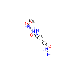 CN(C)CCNC(=O)c1ccc(-c2ccc3[nH]c(C(=O)NCCNC(=O)OC(C)(C)C)cc3c2)cc1